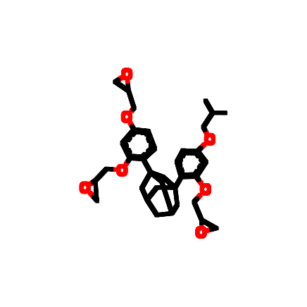 CC(C)COc1ccc(C23CC4CC(C2)CC(c2ccc(OCC5CO5)cc2OCC2CO2)(C4)C3)c(OCC2CO2)c1